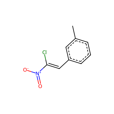 Cc1cccc(C=C(Cl)[N+](=O)[O-])c1